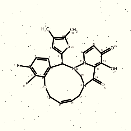 Cc1cc([C@@H]2c3ccc(F)c(F)c3OC/C=C\CN3CN2n2ccc(=O)c(O)c2C3=O)sc1C